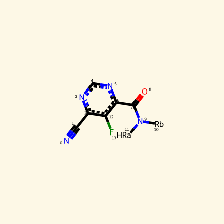 N#Cc1ncnc(C(=O)[N]([Rb])[RaH])c1F